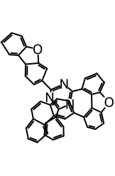 c1ccc(-c2nc(-c3ccc4c(c3)oc3ccccc34)nc(-c3cccc4oc5cccc(-c6ccc7ccc8ccccc8c7c6)c5c34)n2)cc1